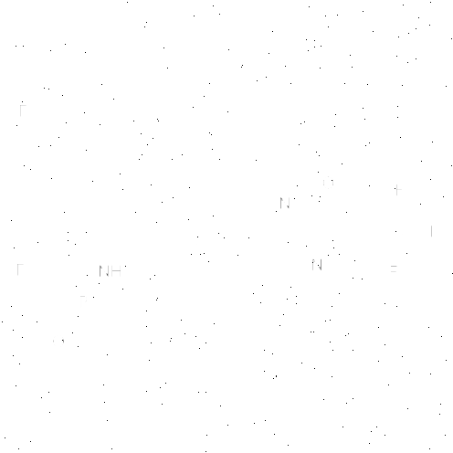 CP(=O)(Cc1ccc(-c2noc(C(F)(F)F)n2)cc1)Nc1ccc(F)cc1F